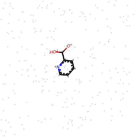 [O]C(O)c1ccccn1